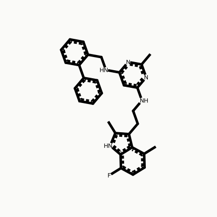 Cc1nc(NCCc2c(C)[nH]c3c(F)ccc(C)c23)cc(NCc2ccccc2-c2ccccc2)n1